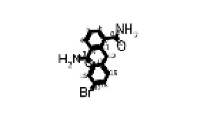 NC(=O)c1cccc(C(N)=O)c1Cc1ccc(Br)cc1